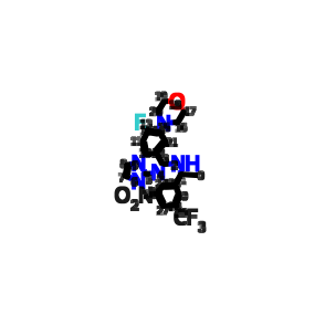 CC(Nc1nc2nccn2c2cc(F)c(N3CCOCC3)cc12)c1cc([N+](=O)[O-])cc(C(F)(F)F)c1